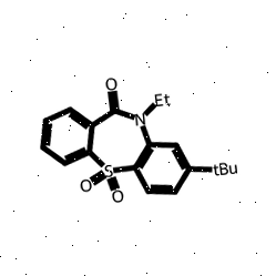 CCN1C(=O)c2ccccc2S(=O)(=O)c2ccc(C(C)(C)C)cc21